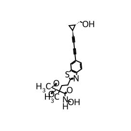 CC(CCc1nc2ccc(C#CC#C[C@H]3C[C@@H]3CO)cc2s1)(C(=O)NO)S(C)(=O)=O